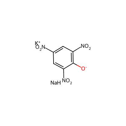 O=[N+]([O-])c1cc([N+](=O)[O-])c([O-])c([N+](=O)[O-])c1.[K+].[NaH]